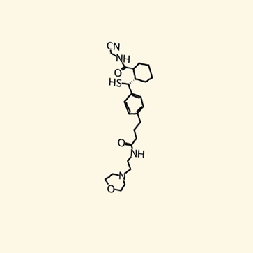 N#CCNC(=O)[C@H]1CCCC[C@@H]1C(S)c1ccc(CCCC(=O)NCCN2CCOCC2)cc1